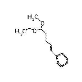 CCOC(CC/C=C/c1ccccc1)OC